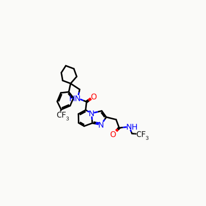 O=C(Cc1cn2c(C(=O)NCC3(c4ccc(C(F)(F)F)cc4)CCCCC3)cccc2n1)NCC(F)(F)F